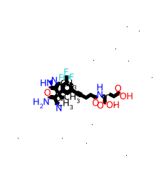 Cc1n[nH]c2c1C(c1cc(C#CCCC(=O)N[C@H](CCC(=O)O)C(=O)O)cc(C(F)(F)F)c1)(C(C)C)C(C#N)=C(N)O2